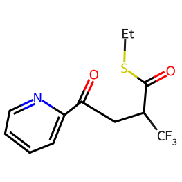 CCSC(=O)C(CC(=O)c1ccccn1)C(F)(F)F